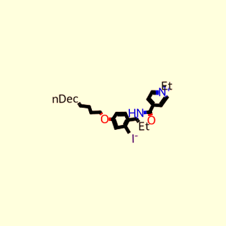 CCCCCCCCCCCCCCOc1ccc(C(CC)NC(=O)c2cc[n+](CC)cc2)c(C)c1.[I-]